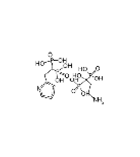 NCCC(O)(P(=O)(O)O)P(=O)(O)O.O=P(O)(O)C(Cc1ccccn1)P(=O)(O)O